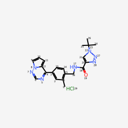 Cc1cc(-c2ncnn3cccc23)ccc1CNC(=O)c1cn(C(C)(C)C)nn1.Cl